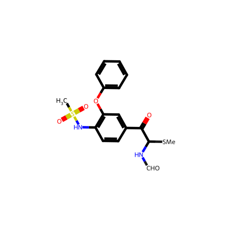 CSC(NC=O)C(=O)c1ccc(NS(C)(=O)=O)c(Oc2ccccc2)c1